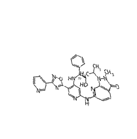 CC(C)n1c2nc(Nc3cc(N[C@H](CO)c4ccccc4)c(-c4nc(-c5cccnc5)no4)cn3)ccc2c(=O)n1C